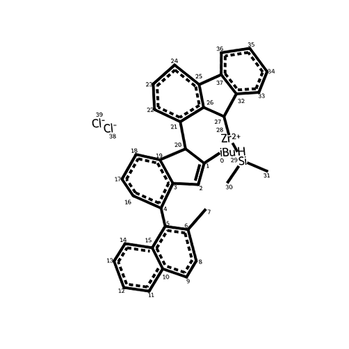 CCC(C)C1=Cc2c(-c3c(C)ccc4ccccc34)cccc2C1c1cccc2c1[CH]([Zr+2][SiH](C)C)c1ccccc1-2.[Cl-].[Cl-]